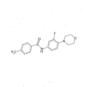 Cc1ccc(C(=O)Nc2ccc(N3CCOCC3)c(F)c2)cc1